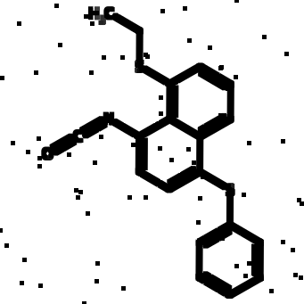 CCSc1cccc2c(Sc3ccccc3)ccc(N=C=O)c12